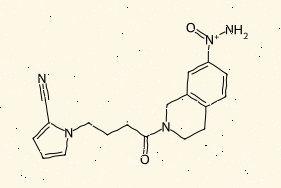 N#Cc1cccn1CC[CH]C(=O)N1CCc2ccc([N+](N)=O)cc2C1